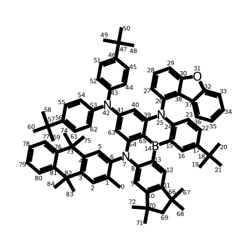 Cc1cc2c(cc1N1c3cc4c(cc3B3c5cc(C(C)(C)C)ccc5N(c5cccc6oc7ccccc7c56)c5cc(N(c6ccc(C(C)(C)C)cc6)c6ccc(C(C)(C)C)cc6)cc1c53)C(C)(C)CC4(C)C)C(C)(C)c1ccccc1C2(C)C